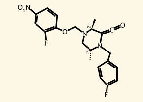 C[C@@H]1CN(COc2ccc([N+](=O)[O-])cc2F)[C@@H](C)C(=C=O)N1Cc1ccc(F)cc1